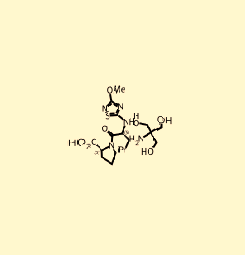 COc1nsc(N[C@@H](CC(C)C)C(=O)N2CCC[C@H]2C(=O)O)n1.NC(CO)(CO)CO